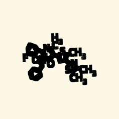 Cc1nc(-c2cc(-c3c(C)nc(-c4cccc(F)c4O)n(CCc4ccccc4)c3=O)sc2C)sc1C